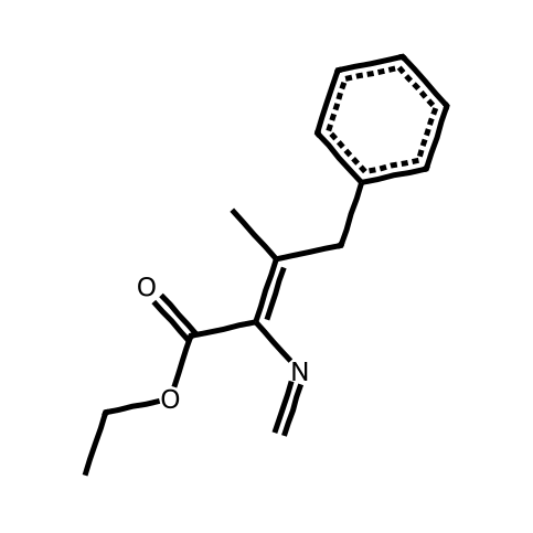 C=N/C(C(=O)OCC)=C(/C)Cc1ccccc1